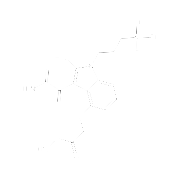 CC[N+](CC)(CC)CCCn1c(C)c(C(=O)C(N)=O)c2c(OCC(=O)OC(C)(C)C)cccc21